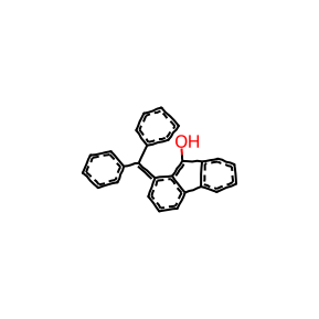 OC1=c2c(cccc2=C(c2ccccc2)c2ccccc2)-c2ccccc21